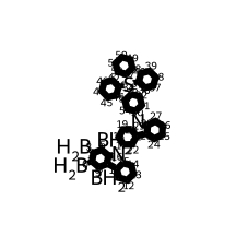 Bc1c(B)c(B)c2c(c1B)c1ccccc1n2-c1ccc2c(c1)c1ccccc1n2-c1ccc(S(c2ccccc2)(c2ccccc2)c2ccccc2)cc1